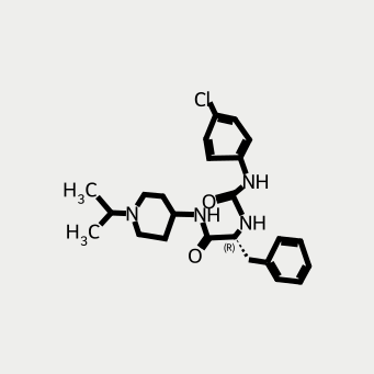 CC(C)N1CCC(NC(=O)[C@@H](Cc2ccccc2)NC(=O)Nc2ccc(Cl)cc2)CC1